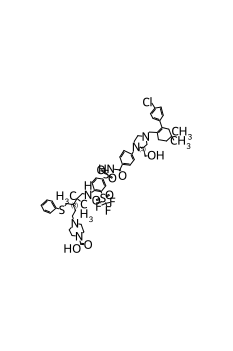 CC1(C)CCC(CN2CCN(c3ccc(C(=O)NS(=O)(=O)c4ccc(NCC(C)(C)[C@@H](CCN5CCN(C(=O)O)CC5)CSc5ccccc5)c(S(=O)(=O)C(F)(F)F)c4)cc3)[C@H](CO)C2)=C(c2ccc(Cl)cc2)C1